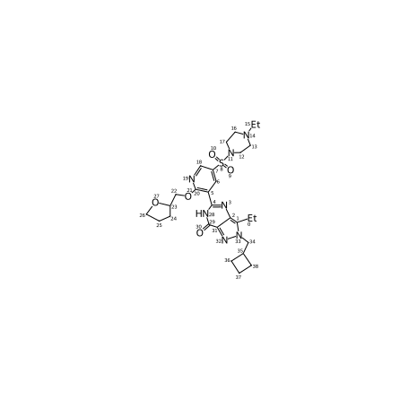 CCc1c2nc(-c3cc(S(=O)(=O)N4CCN(CC)CC4)cnc3OCC3CCCO3)[nH]c(=O)c2nn1CC1CCC1